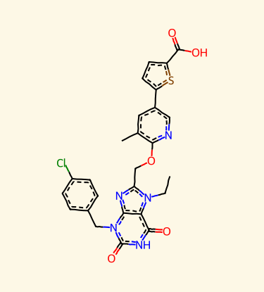 CCn1c(COc2ncc(-c3ccc(C(=O)O)s3)cc2C)nc2c1c(=O)[nH]c(=O)n2Cc1ccc(Cl)cc1